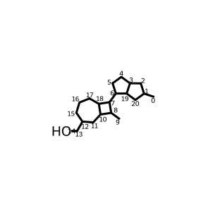 CC1CC2CCC(C3C(C)C4CC(CO)CCCC43)C2C1